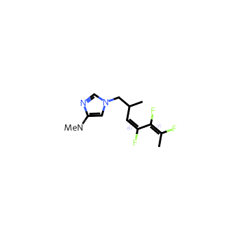 CNc1cn(CC(C)/C=C(F)\C(F)=C(/C)F)cn1